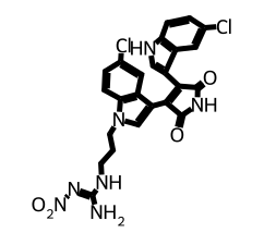 NC(=N[N+](=O)[O-])NCCCn1cc(C2=C(c3c[nH]c4ccc(Cl)cc34)C(=O)NC2=O)c2cc(Cl)ccc21